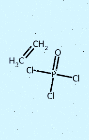 C=C.O=P(Cl)(Cl)Cl